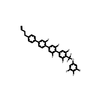 C=CCCc1ccc(-c2ccc(-c3cc(F)c(-c4cc(F)c(C(F)(F)Oc5cc(F)c(F)c(F)c5)c(F)c4)c(F)c3)c(F)c2)cc1